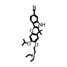 CCN(CC)CCOc1cc2c(cc1OC(C)C)Oc1c([nH]c3cc(C#N)ccc13)C2(C)C